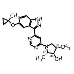 C[C@H]1CN(c2cc(-c3n[nH]c4ccc(OC5(C)CC5)cc34)ncn2)[C@@H](C)[C@@H]1O